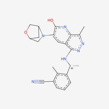 Cc1c(C#N)cccc1[C@@H](C)Nc1nnc(C)c2nc(O)c(N3CC4CC3CO4)cc12